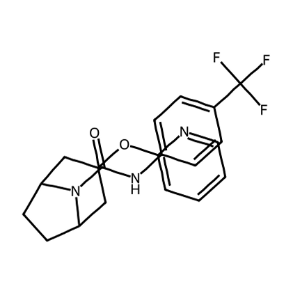 O=C(Nc1ccc(C(F)(F)F)cc1)N1C2CCC1CC(Oc1ccccn1)C2